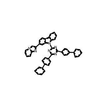 c1ccc(-c2ccc(-c3nc(-c4ccc(-c5ccccc5)cc4)nc(-n4c5ccccc5c5ccc(-c6cn7ccccc7n6)cc54)n3)cc2)cc1